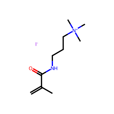 C=C(C)C(=O)NCCC[N+](C)(C)C.[I-]